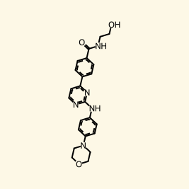 O=C(NCCO)c1ccc(-c2ccnc(Nc3ccc(N4CCOCC4)cc3)n2)cc1